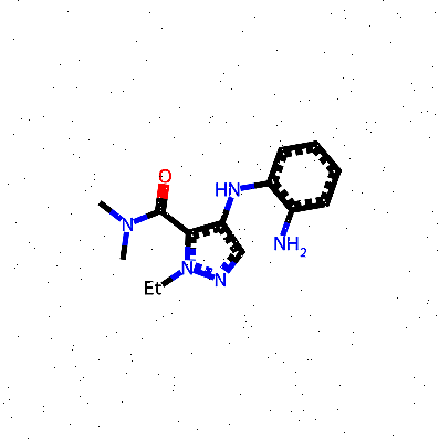 CCn1ncc(Nc2ccccc2N)c1C(=O)N(C)C